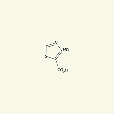 Cl.O=C(O)c1cncs1